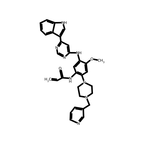 C=CC(=O)Nc1cc(Nc2cc(-c3c[nH]c4ccccc34)ncn2)c(OC)cc1N1CCN(Cc2cccnc2)CC1